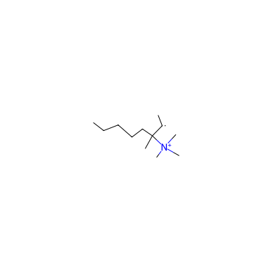 C[CH]C(C)(CCCCC)[N+](C)(C)C